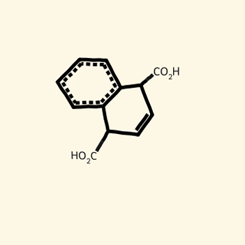 O=C(O)C1C=CC(C(=O)O)c2ccccc21